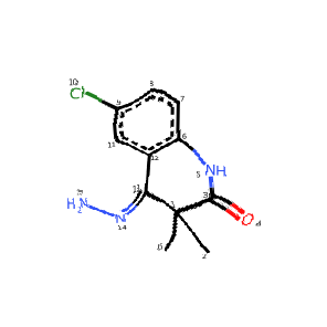 CC1(C)C(=O)Nc2ccc(Cl)cc2/C1=N\N